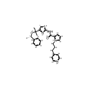 C[C@H](OC(C)(C)c1csc(NC(=O)c2cccn2CCCc2ccncc2)n1)c1ccccc1